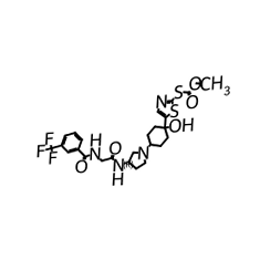 COC(=O)Sc1ncc(C2(O)CCC(N3CC[C@@H](NC(=O)CNC(=O)c4cccc(C(F)(F)F)c4)C3)CC2)s1